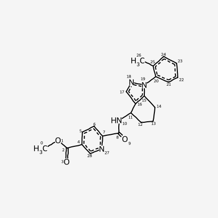 COC(=O)c1ccc(C(=O)NC2CCCc3c2cnn3-c2ccccc2C)nc1